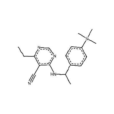 CCc1ncnc(NC(C)c2ccc([Si](C)(C)C)cc2)c1C#N